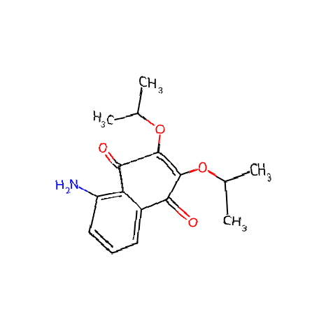 CC(C)OC1=C(OC(C)C)C(=O)c2c(N)cccc2C1=O